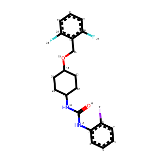 O=C(Nc1ccccc1I)NC1CCC(OCc2c(F)cccc2F)CC1